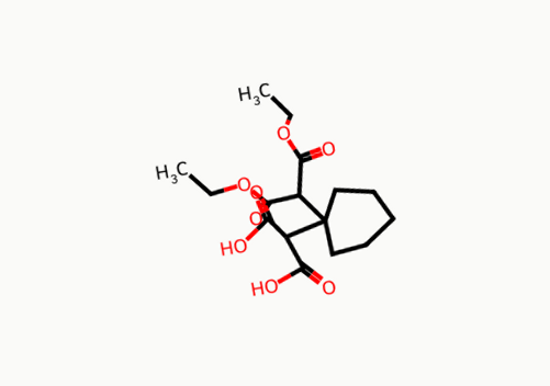 CCOC(=O)C(C(=O)OCC)C1(C(C(=O)O)C(=O)O)CCCCC1